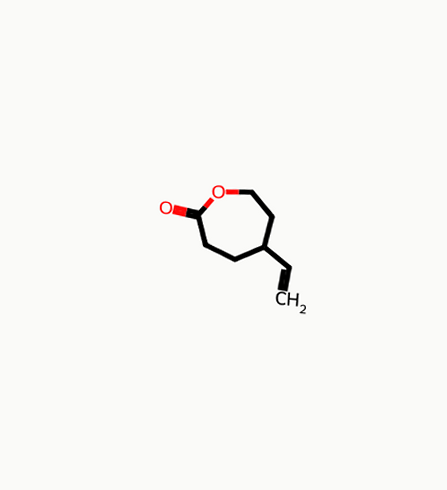 C=CC1CCOC(=O)CC1